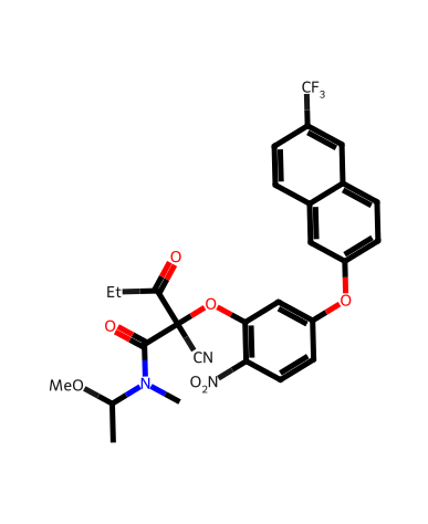 CCC(=O)C(C#N)(Oc1cc(Oc2ccc3cc(C(F)(F)F)ccc3c2)ccc1[N+](=O)[O-])C(=O)N(C)C(C)OC